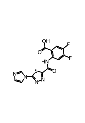 O=C(Nc1cc(F)c(F)cc1C(=O)O)c1nnc(-n2ccnc2)s1